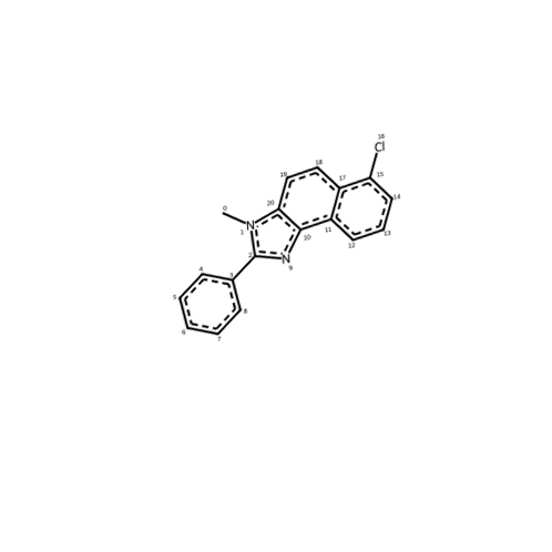 Cn1c(-c2ccccc2)nc2c3cccc(Cl)c3ccc21